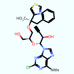 C#C[C@@H](O)[C@@H](O[C@@H](CO)CO[C@@](Cc1ccccc1)(C(=O)O)c1cscn1)n1cnc2c(NC)nc(Cl)nc21